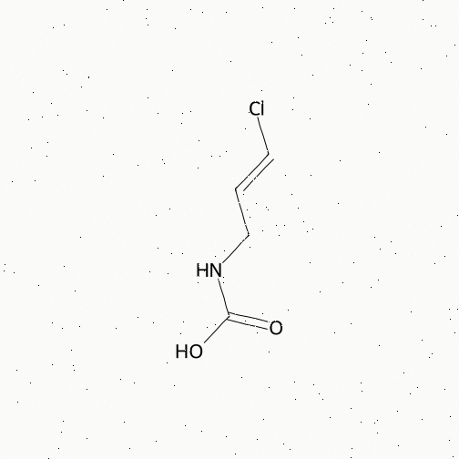 O=C(O)NCC=CCl